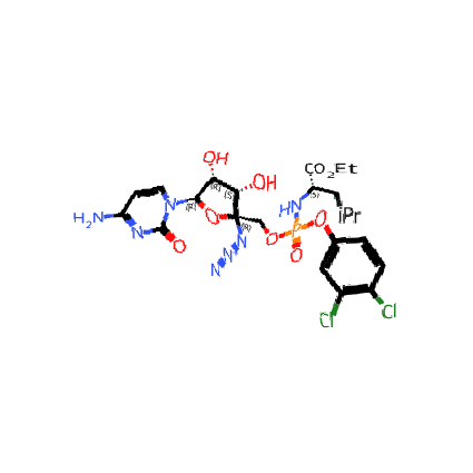 CCOC(=O)[C@H](CC(C)C)NP(=O)(OC[C@@]1(N=[N+]=[N-])O[C@@H](n2ccc(N)nc2=O)[C@H](O)[C@@H]1O)Oc1ccc(Cl)c(Cl)c1